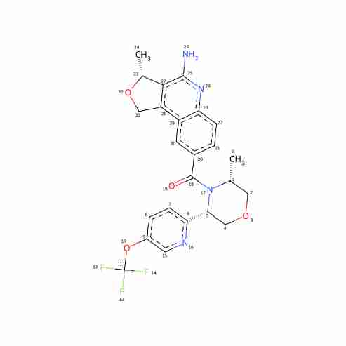 C[C@@H]1COC[C@H](c2ccc(OC(F)(F)F)cn2)N1C(=O)c1ccc2nc(N)c3c(c2c1)CO[C@@H]3C